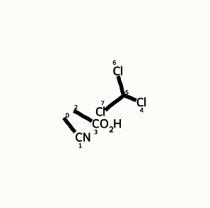 CC#N.CC(=O)O.ClC(Cl)Cl